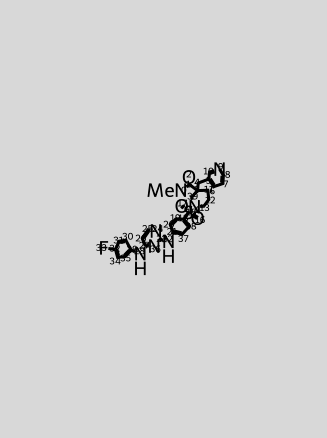 CNC(=O)C1(Cc2cccnc2)CCCN(S(=O)(=O)c2ccc(Nc3nccc(Nc4ccc(F)cc4)n3)cc2)C1